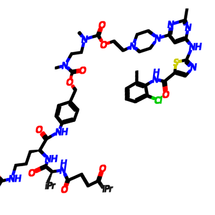 Cc1nc(Nc2ncc(C(=O)Nc3c(C)cccc3Cl)s2)cc(N2CCN(CCOC(=O)N(C)CCN(C)C(=O)OCc3ccc(NC(=O)[C@H](CCCNC(N)=O)NC(=O)[C@@H](NC(=O)CCC(=O)C(C)C)C(C)C)cc3)CC2)n1